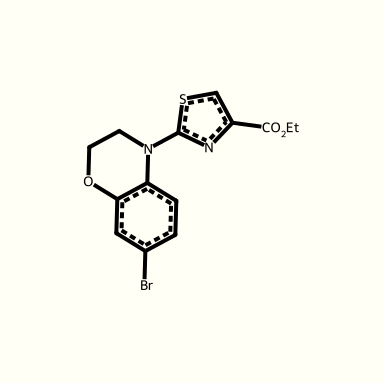 CCOC(=O)c1csc(N2CCOc3cc(Br)ccc32)n1